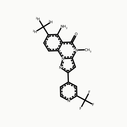 [2H]C([2H])([2H])c1ccc2c(c1N)c(=O)n(C)c1cc(-c3ccnc(C(F)(F)F)c3)nn21